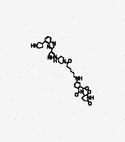 N=C/C(=C\NC1CCN(C(=O)CCCCCNc2ccc3c(c2)C(=O)N(C2CCC(=O)NC2=O)C3=O)CC1)c1cnc2cccc(C3CCNC3)c2n1